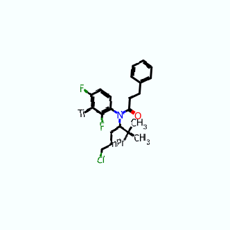 CCCC(C)(C)C(CCCCl)N(C(=O)CCc1ccccc1)c1ccc(F)[c]([Ti])c1F